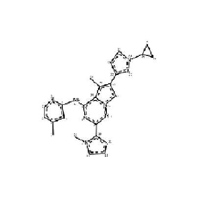 Cc1ccnc(Nc2nc(-c3nccn3C)nn3cc(-c4ccn(C5CC5)n4)c(C)c23)c1